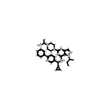 CCC(C)n1ncc2nc(N3CCN(C(C)O)CC3)nc(NC(c3ccc(-c4ccccc4)nc3)C3CC3)c21